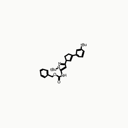 CC(C)(C)c1cccc(C2=CC(c3cc(NC(=O)OCc4ccccc4)n(C(C)(C)C)n3)CC2)c1